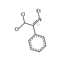 CC/N=C(/c1ccccc1)C(Cl)Cl